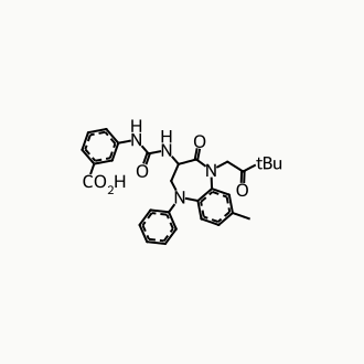 Cc1ccc2c(c1)N(CC(=O)C(C)(C)C)C(=O)C(NC(=O)Nc1cccc(C(=O)O)c1)CN2c1ccccc1